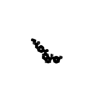 CCOC(=O)CN1CCC(N(C)c2ncc3ncnc(Nc4cccc(Br)c4)c3n2)CC1